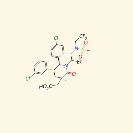 CCC(CN(CC(F)(F)F)S(C)(=O)=O)N1C(=O)[C@@](C)(CC(=O)O)C[C@H](c2cccc(Cl)c2)[C@H]1c1ccc(Cl)cc1